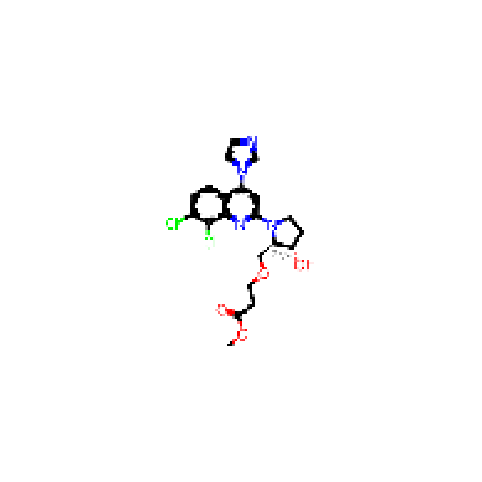 COC(=O)CCOC[C@@H]1[C@@H](O)CCN1c1cc(-n2ccnc2)c2ccc(Cl)c(Cl)c2n1